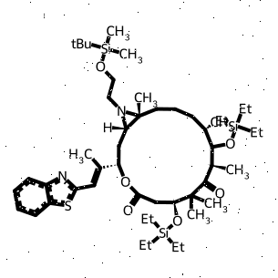 CC[Si](CC)(CC)OC1[C@@H](C)CCC[C@]2(C)[C@H](C[C@@H](/C(C)=C/c3nc4ccccc4s3)OC(=O)C[C@H](O[Si](CC)(CC)CC)C(C)(C)C(=O)[C@@H]1C)N2CCO[Si](C)(C)C(C)(C)C